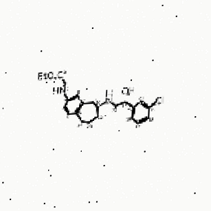 CCOC(=O)CNc1ccc2c(c1)C[C@@H](NC[C@H](O)c1cccc(Cl)c1)CCC2